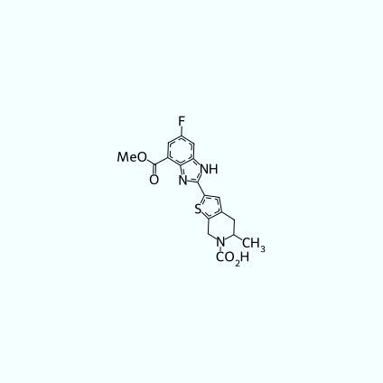 COC(=O)c1cc(F)cc2[nH]c(-c3cc4c(s3)CN(C(=O)O)C(C)C4)nc12